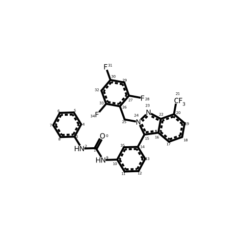 O=C(Nc1ccccc1)Nc1cccc(-c2c3cccc(C(F)(F)F)c3nn2Cc2c(F)cc(F)cc2F)c1